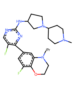 CC(C)N1CCOc2c(F)cc(-c3nc(NC4CCN(C5CCN(C)CC5)C4)ncc3F)cc21